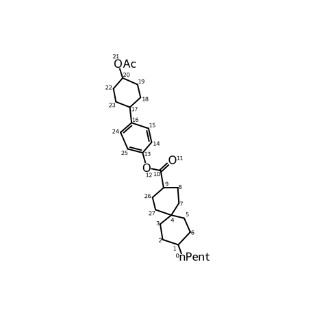 CCCCCC1CCC2(CC1)CCC(C(=O)Oc1ccc(C3CCC(OC(C)=O)CC3)cc1)CC2